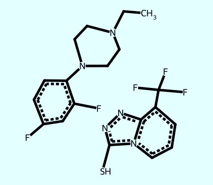 CCN1CCN(c2ccc(F)cc2F)CC1.FC(F)(F)c1cccn2c(S)nnc12